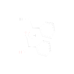 O=C(O)C(O)c1ccccc1.O=C(O)C(O)c1ccccc1